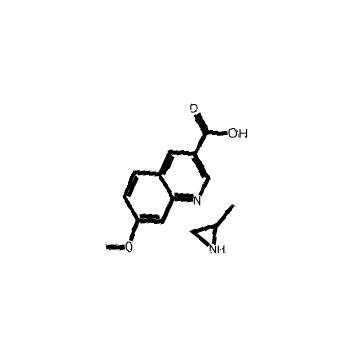 CC1CN1.COc1ccc2cc(C(=O)O)cnc2c1